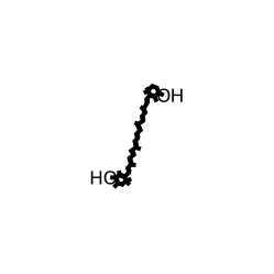 CC1=C(/C=C/C(C)=C/C=C/C(C)=C/C=C/C=C(C)/C=C/C=C(C)/C=C/C2=C(C)C(O)C(C)CC2(C)C)C(C)(C)CCC1O